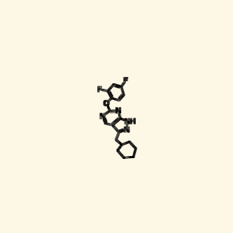 Fc1ccc(Oc2ncc3c(CC4CCCCC4)n[nH]c3n2)c(F)c1